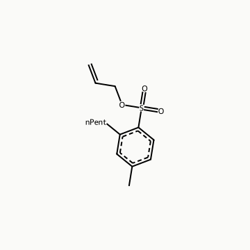 C=CCOS(=O)(=O)c1ccc(C)cc1CCCCC